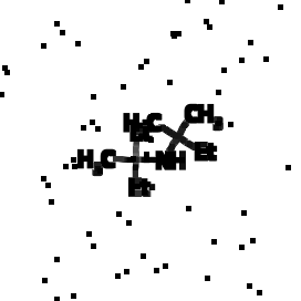 [CH2]C(C)(CC)NC(C)([CH]C)CC